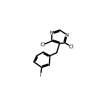 Clc1ncnc(Cl)c1Cc1cccc(I)c1